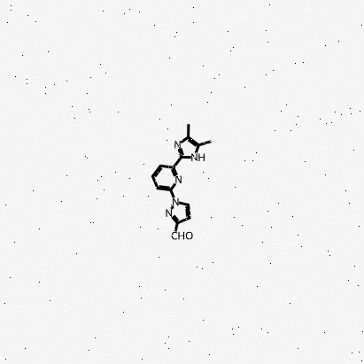 Cc1nc(-c2cccc(-n3ccc(C=O)n3)n2)[nH]c1C